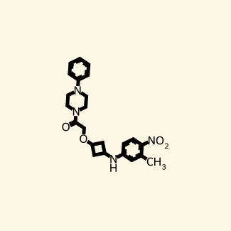 Cc1cc(NC2CC(OCC(=O)N3CCN(c4ccccc4)CC3)C2)ccc1[N+](=O)[O-]